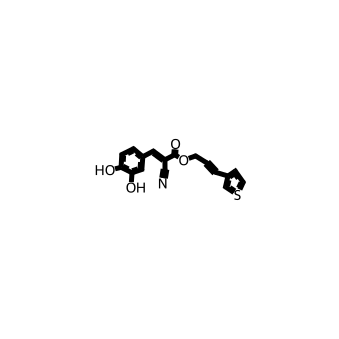 N#C/C(=C\c1ccc(O)c(O)c1)C(=O)OCC#Cc1ccsc1